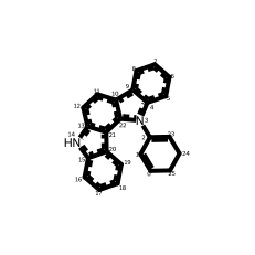 C1=CC(n2c3ccccc3c3ccc4[nH]c5ccccc5c4c32)=CCC1